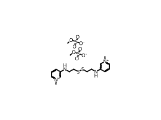 COS(=O)(=O)[O-].COS(=O)(=O)[O-].C[n+]1cccc(NCCSSCCNc2ccc[n+](C)c2)c1